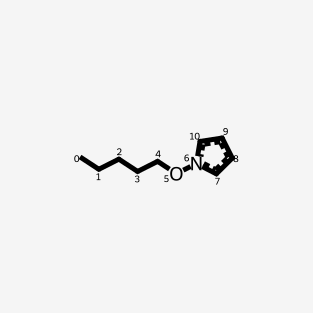 CCCCCOn1cccc1